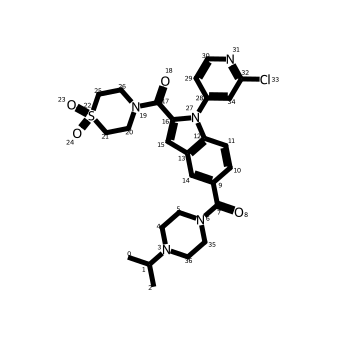 CC(C)N1CCN(C(=O)c2ccc3c(c2)cc(C(=O)N2CCS(=O)(=O)CC2)n3-c2ccnc(Cl)c2)CC1